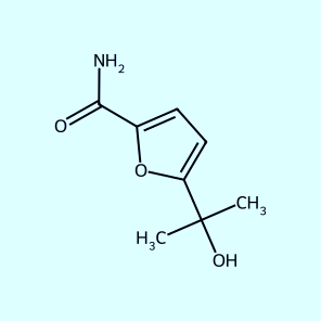 CC(C)(O)c1ccc(C(N)=O)o1